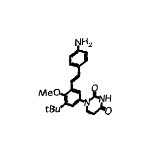 COc1c(C=Cc2ccc(N)cc2)cc(N2CCC(=O)NC2=O)cc1C(C)(C)C